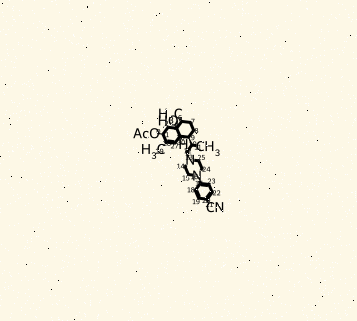 CC(=O)O[C@@H]1[CH][C@@]2(O)[C@H](C)CC[C@@H](C(C)CN3CCN(c4ccc(C#N)cc4)CC3)[C@H]2C=C1C